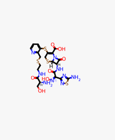 Nc1nc(/C(=N/O)C(=O)N[C@@H]2C(=O)N3C(C(=O)O)=C(Sc4cccnc4CSCCNC(=O)[C@@H](N)CO)CS[C@@H]23)ns1